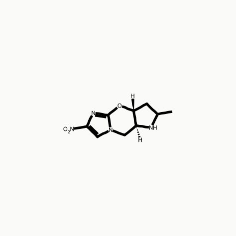 CC1C[C@H]2Oc3nc([N+](=O)[O-])cn3C[C@@H]2N1